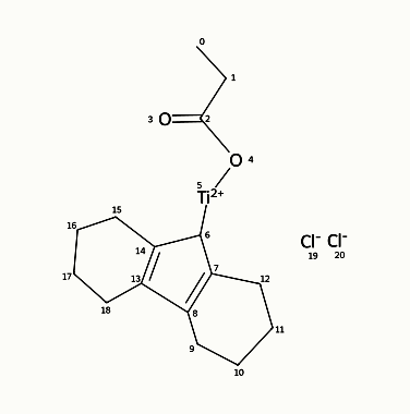 CCC(=O)[O][Ti+2][CH]1C2=C(CCCC2)C2=C1CCCC2.[Cl-].[Cl-]